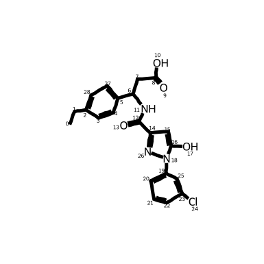 CCc1ccc(C(CC(=O)O)NC(=O)c2cc(O)n(-c3cccc(Cl)c3)n2)cc1